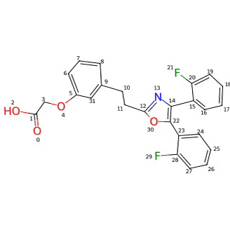 O=C(O)COc1cccc(CCc2nc(-c3ccccc3F)c(-c3ccccc3F)o2)c1